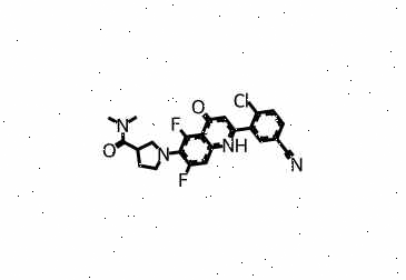 CN(C)C(=O)C1CCN(c2c(F)cc3[nH]c(-c4cc(C#N)ccc4Cl)cc(=O)c3c2F)C1